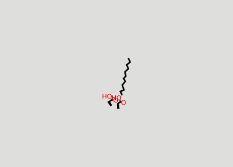 C=CC(=O)O.C=CC(=O)O.CCCCCCCCCCCC